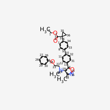 CCOC(=O)C1(c2ccc(-c3ccc(-c4onc(C)c4N(C)CCOc4ccccc4)cc3)cc2)CC1